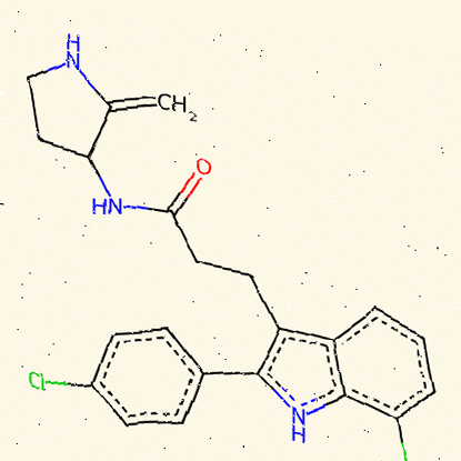 C=C1NCCC1NC(=O)CCc1c(-c2ccc(Cl)cc2)[nH]c2c(Cl)cccc12